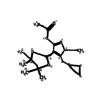 Cn1nc(OC(N)=O)c(B2OC(C)(C)C(C)(C)O2)c1CC1CC1